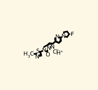 Cc1ncc(N2Cc3cc(-c4ccc(N5CC[C@H](F)C5)nc4)nn3C2=O)s1.[Cl-].[H+]